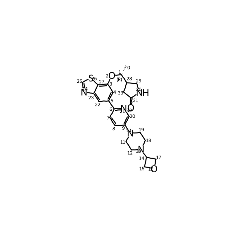 C[C@@H](Oc1cc(-c2ccc(N3CCN(C4COC4)CC3)cn2)cc2ncsc12)C1CNC(=O)C1